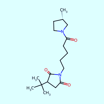 C[C@H]1CCN(C(=O)CCCCN2C(=O)CC(C(C)(C)C)C2=O)C1